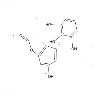 O=COc1cccc(O)c1.Oc1cccc(O)c1O